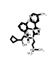 COc1cccc(OC)c1-n1c(-c2cncc(C)c2)nnc1N(CC[SiH](C)C)S(=O)(=O)C[C@@H](O)C1CCC1